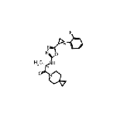 C[C@H](Nc1nnc(C2C[C@H]2c2ccccc2F)o1)C(=O)N1CCC2(CC1)CC2